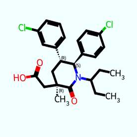 CCC(CC)N1C(=O)[C@@](C)(CC(=O)O)C[C@H](c2cccc(Cl)c2)[C@H]1c1ccc(Cl)cc1